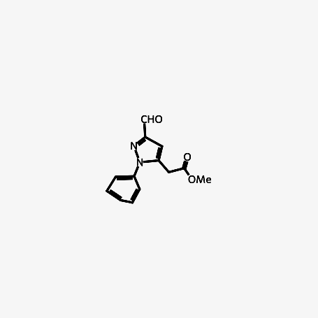 COC(=O)Cc1cc(C=O)nn1-c1ccccc1